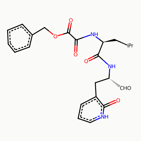 CC(C)C[C@H](NC(=O)C(=O)OCc1ccccc1)C(=O)N[C@H](C=O)Cc1ccc[nH]c1=O